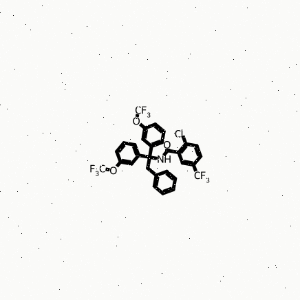 O=C(NC(Cc1ccccc1)(c1cccc(OC(F)(F)F)c1)c1cccc(OC(F)(F)F)c1)c1cc(C(F)(F)F)ccc1Cl